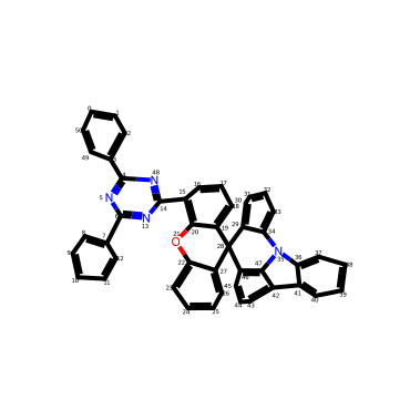 c1ccc(-c2nc(-c3ccccc3)nc(-c3cccc4c3Oc3ccccc3C43c4ccccc4-n4c5ccccc5c5cccc3c54)n2)cc1